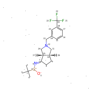 CC(C)(C)[S+]([O-])/N=C1\CC[C@H]2CN(Cc3cccc(C(F)(F)F)c3)C[C@@H]12